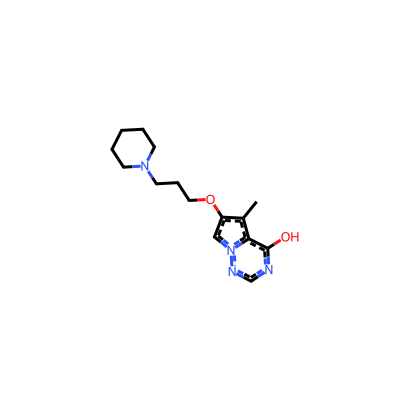 Cc1c(OCCCN2CCCCC2)cn2ncnc(O)c12